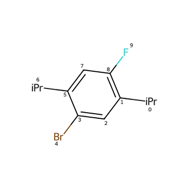 CC(C)c1cc(Br)c(C(C)C)cc1F